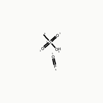 CS(=O)(=O)O.O=[P]